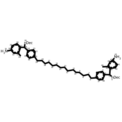 CCCCCCCCCCC(c1ccc(CCCCCCCCCCCCCCCc2ccc(C(CCCCCCCCCC)c3ccc(N)cc3C)cc2)cc1)c1ccc(N)cc1C